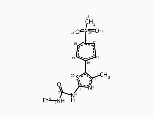 CCNC(=O)Nc1nc(C)c(-c2ccc(S(C)(=O)=O)cc2)s1